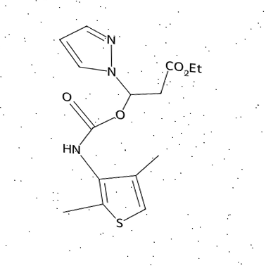 CCOC(=O)CC(OC(=O)Nc1c(C)csc1C)n1cccn1